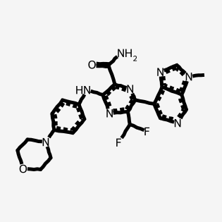 Cn1cnc2c(-c3nc(C(N)=O)c(Nc4ccc(N5CCOCC5)cc4)nc3C(F)F)cncc21